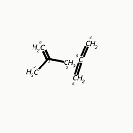 C=C(C)C.C=C=C